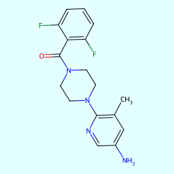 Cc1cc(N)cnc1N1CCN(C(=O)c2c(F)cccc2F)CC1